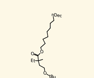 CCCCCCCCCCCCCCCCCCOC(=O)C(C)(CC)CCOC(C)(C)C